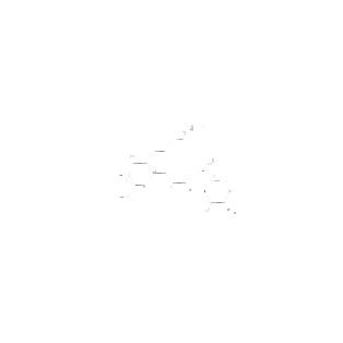 CC(=O)NCCCO[C@H]1C(CCCO[C@H]2[C@H](O)[C@@H](O)CO[C@@H]2CO)O[C@H](CO)[C@@H](C)[C@@H]1O